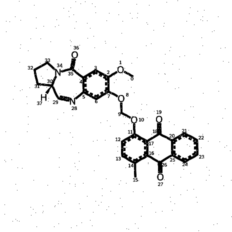 COc1cc2c(cc1OCOc1ccc(C)c3c1C(=O)c1ccccc1C3=O)N=C[C@@H]1CCCN1C2=O